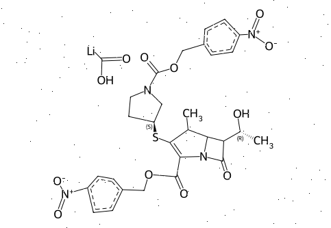 CC1C(S[C@H]2CCN(C(=O)OCc3ccc([N+](=O)[O-])cc3)C2)=C(C(=O)OCc2ccc([N+](=O)[O-])cc2)N2C(=O)C([C@@H](C)O)C12.[Li][C](=O)O